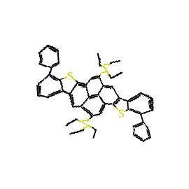 CCS(CC)(CC)c1cc2c3sc4c(-c5ccccc5)cccc4c3cc3c(S(CC)(CC)CC)cc4c5sc6c(-c7ccccc7)cccc6c5cc1c4c32